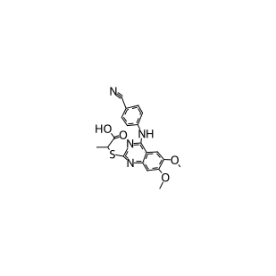 COc1cc2nc(SC(C)C(=O)O)nc(Nc3ccc(C#N)cc3)c2cc1OC